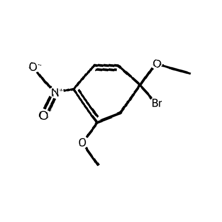 COC1=C([N+](=O)[O-])C=CC(Br)(OC)C1